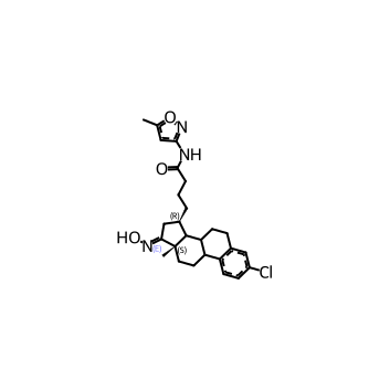 Cc1cc(NC(=O)CCC[C@@H]2C/C(=N\O)[C@@]3(C)CCC4c5ccc(Cl)cc5CCC4C23)no1